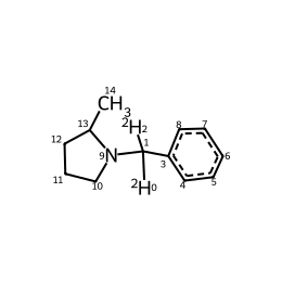 [2H]C([2H])(c1ccccc1)N1CCCC1C